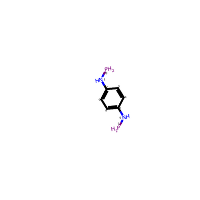 PNc1ccc(NP)cc1